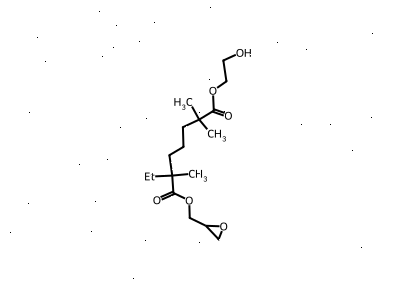 CCC(C)(CCCC(C)(C)C(=O)OCCO)C(=O)OCC1CO1